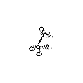 COC(=O)C(OC1CCCCO1)C(=O)CCCC=CC[C@@H]1[C@@H](CO[Si](C)(C)C(C)(C)C)[C@H](OC2CCCCO2)C[C@@H]1OC1CCCCO1